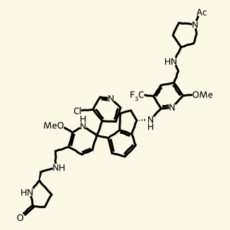 COC1=C(CNC[C@H]2CCC(=O)N2)C=CC(c2ccncc2Cl)(c2cccc3c2CC[C@@H]3Nc2nc(OC)c(CNC3CCN(C(C)=O)CC3)cc2C(F)(F)F)N1